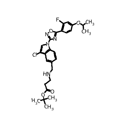 CC(C)Oc1ccc(-c2nc(-n3cc(Cl)c4cc(CNCCC(=O)OC(C)(C)C)ccc43)no2)c(F)c1